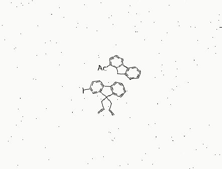 C=CCC1(CC=C)c2ccccc2-c2ccc(I)cc21.CC(=O)c1cccc2c1Cc1ccccc1-2